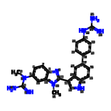 CN(C(=N)N)c1ccc2nc(-c3c[nH]c4ccc(-c5ccc(NC(=N)N)cc5)cc34)n(C)c2c1